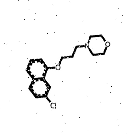 Clc1ccc2cccc(OCCCN3CCOCC3)c2c1